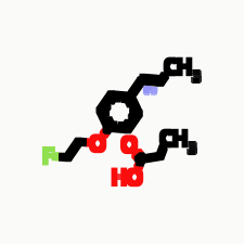 C/C=C/c1ccc(OCCF)cc1.CCC(=O)O